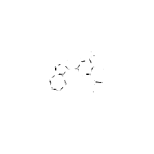 COC(=O)c1nc(-c2scc3ccccc23)cc(N)c1Cl